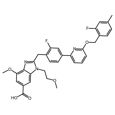 COCCn1c(Cc2ccc(-c3cccc(OCc4ccc(C)cc4F)n3)cc2F)nc2c(OC)cc(C(=O)O)cc21